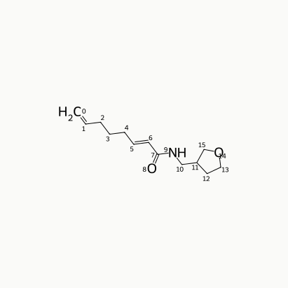 C=CCCCC=CC(=O)NCC1CCOC1